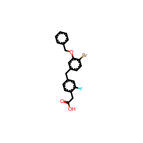 O=C(O)Cc1ccc(Cc2ccc(Br)c(OCc3ccccc3)c2)cc1F